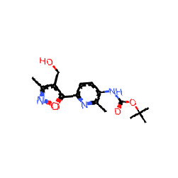 Cc1nc(-c2onc(C)c2CO)ccc1NC(=O)OC(C)(C)C